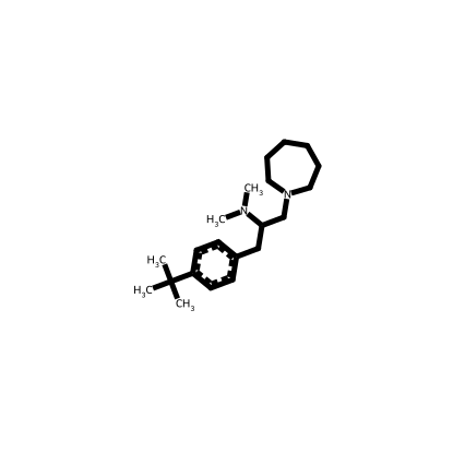 CN(C)C(Cc1ccc(C(C)(C)C)cc1)CN1CCCCCC1